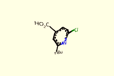 CCCCc1cc(C(=O)O)cc(Cl)n1